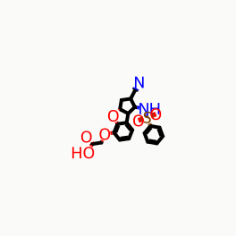 N#CC1CC2Oc3c(OCC(=O)O)cccc3C2C1NS(=O)(=O)c1ccccc1